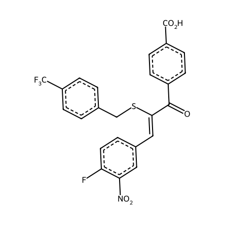 O=C(O)c1ccc(C(=O)C(=Cc2ccc(F)c([N+](=O)[O-])c2)SCc2ccc(C(F)(F)F)cc2)cc1